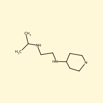 CC(C)NCCNC1CC[N]CC1